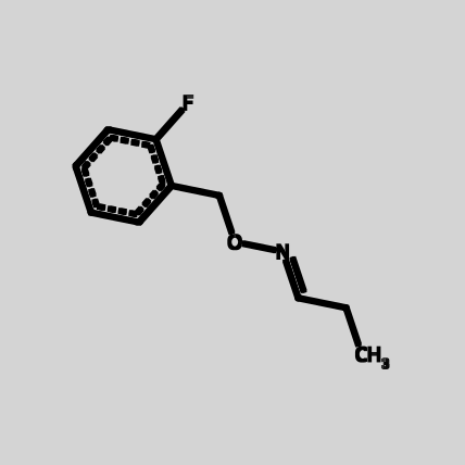 CCC=NOCc1ccccc1F